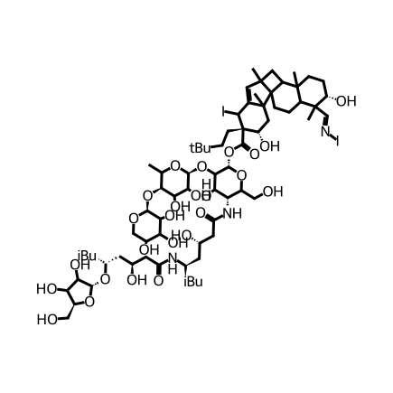 CC[C@H](C)[C@H](C[C@H](O)CC(=O)N[C@H]1C(CO)O[C@@H](OC(=O)[C@]2(CCC(C)(C)C)C(I)C3=CC4(C)CC5C6(C)CC[C@H](O)C(C)(/C=N/I)C6CCC54C3(C)C[C@@H]2O)C(O[C@@H]2OC(C)[C@H](O[C@@H]3OC[C@@H](O)C(O)C3O)C(O)C2O)C1O)NC(=O)C[C@@H](O)C[C@H](O[C@@H]1O[C@@H](CO)C(O)C1O)[C@@H](C)CC